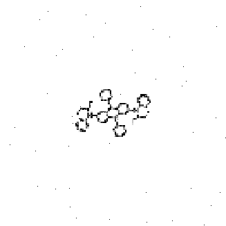 FC1CCc2ccccc2N1c1ccc2c(-c3ccccc3)c3cc(N4c5ccccc5CCC4F)ccc3c(-c3ccccc3)c2c1